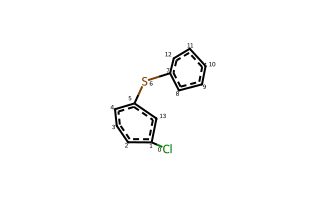 Clc1cccc(Sc2cc[c]cc2)c1